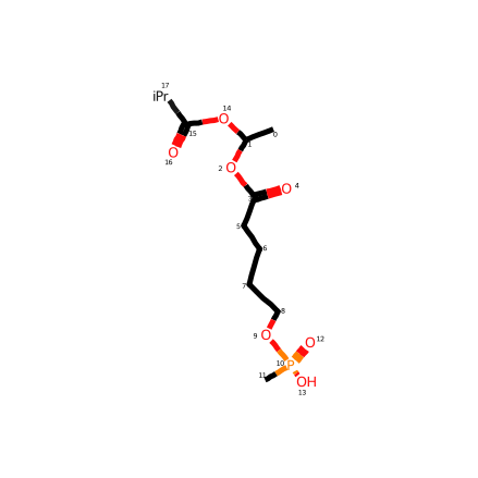 CC(OC(=O)CCCCOP(C)(=O)O)OC(=O)C(C)C